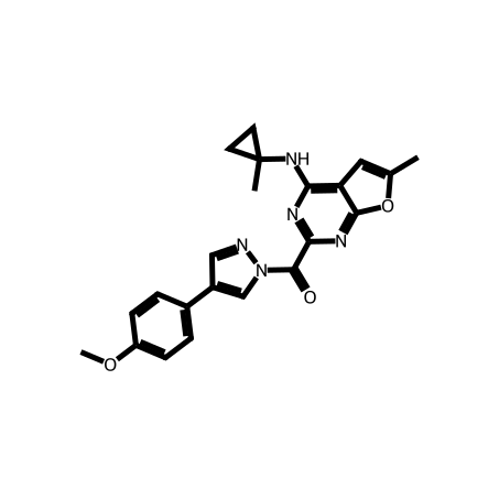 COc1ccc(-c2cnn(C(=O)c3nc(NC4(C)CC4)c4cc(C)oc4n3)c2)cc1